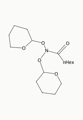 CCCCCCC(=O)N(OC1CCCCO1)OC1CCCCO1